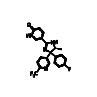 C[C@@H]1NC(c2ccc(=O)[nH]c2)=NC1(c1ccc(F)cc1)c1ccc(C(F)(F)F)nc1